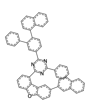 c1ccc(-c2nc(-c3ccc(-c4cccc5ccccc45)c(-c4ccccc4)c3)nc(-c3cccc4oc5ccc(-c6ccc7ccccc7c6)cc5c34)n2)cc1